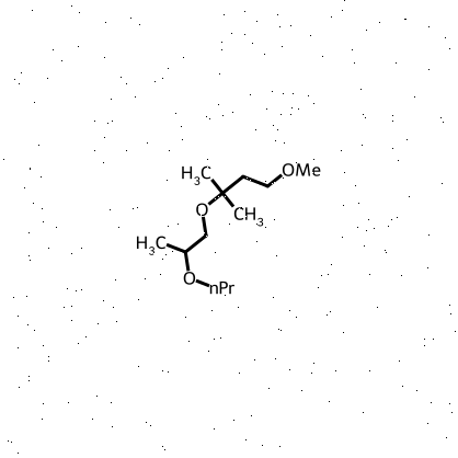 CCCOC(C)COC(C)(C)CCOC